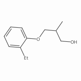 CCc1ccccc1OCC(C)CO